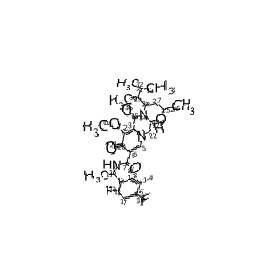 COc1c2n(cc(C(=O)N[C@H](C)c3ccc(F)cc3F)c1=O)C[C@@H]1OC(C)CC([C@@H](C)C(C)C)N1C2=O